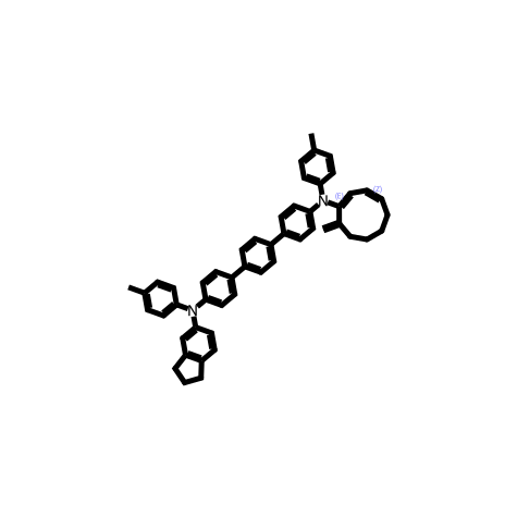 C=C1CCCC/C=C\C=C/1N(c1ccc(C)cc1)c1ccc(-c2ccc(-c3ccc(N(c4ccc(C)cc4)c4ccc5c(c4)CCC5)cc3)cc2)cc1